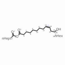 CCCCCCCC(=O)OC(=O)CCCCCCC/C=C\C[C@H](O)CCCCCC